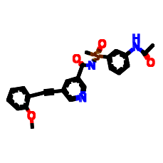 COc1ccccc1C#Cc1cncc(C(=O)N=S(C)(=O)c2cccc(NC(C)=O)c2)c1